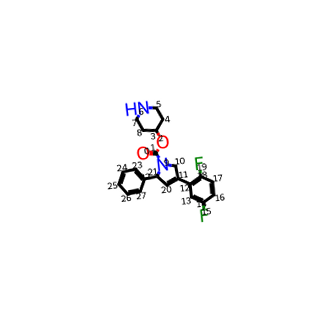 O=C(OC1CCNCC1)N1CC(c2cc(F)ccc2F)=CC1c1ccccc1